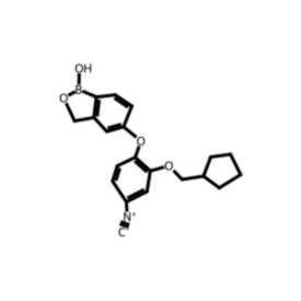 [C-]#[N+]c1ccc(Oc2ccc3c(c2)COB3O)c(OCC2CCCC2)c1